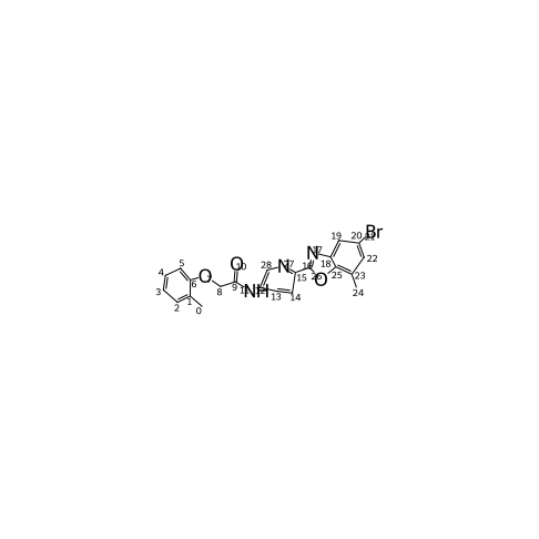 Cc1ccccc1OCC(=O)Nc1ccc(-c2nc3cc(Br)cc(C)c3o2)nc1